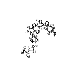 CN(C)C(=O)C1CC(Cc2ncc(N3CC[C@@H](Oc4ccc(Oc5ccc(F)cc5)nc4)C3=O)cn2)C1